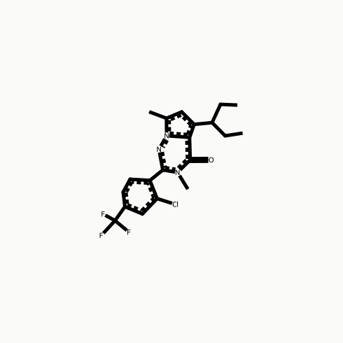 CCC(CC)c1cc(C)n2nc(-c3ccc(C(F)(F)F)cc3Cl)n(C)c(=O)c12